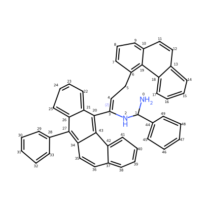 NC(N/C(=C\Cc1cccc2ccc3ccccc3c12)c1c2ccccc2c(-c2ccccc2)c2ccc3ccccc3c12)c1ccccc1